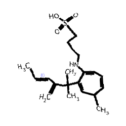 C=C(/C=C/C)C(C)(C)C1=CC(C)C=CC=C1NCCCS(=O)(=O)O